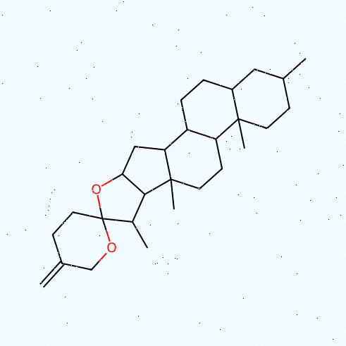 C=C1CCC2(OC1)OC1CC3C4CCC5CC(C)CCC5(C)C4CCC3(C)C1C2C